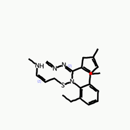 C=N/N=C(/C1=CC=C(C)C1)N(SC/C=C\NC)c1c(CC)cccc1CC